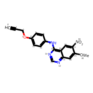 C#CCOc1ccc(Nc2ncnc3cc(OC)c([N+](=O)[O-])cc23)cc1